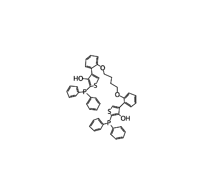 Oc1c(-c2ccccc2OCCCCOc2ccccc2-c2csc(P(c3ccccc3)c3ccccc3)c2O)csc1P(c1ccccc1)c1ccccc1